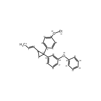 CC=CC1CC1(c1ccc(OCC)cc1)c1cccc(Oc2ccccc2)c1